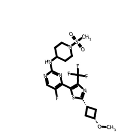 CO[C@H]1C[C@@H](c2nc(C(F)(F)F)c(-c3nc(NC4CCN(S(C)(=O)=O)CC4)ncc3F)s2)C1